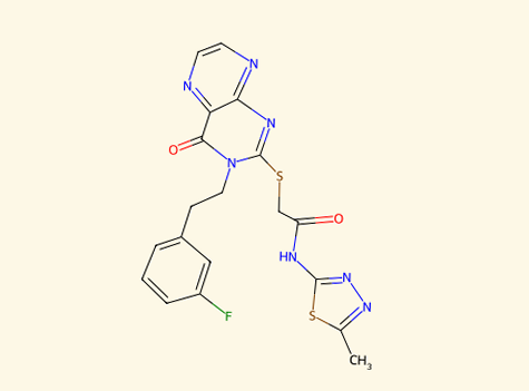 Cc1nnc(NC(=O)CSc2nc3nccnc3c(=O)n2CCc2cccc(F)c2)s1